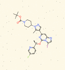 Cc1c(-c2cc3ncc(I)n3c(O[C@H](C)c3ccc(F)cn3)n2)cnn1C1CCN(C(=O)OC(C)(C)C)CC1